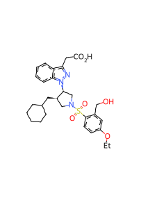 CCOc1ccc(S(=O)(=O)N2C[C@@H](CC3CCCCC3)[C@@H](n3nc(CC(=O)O)c4ccccc43)C2)c(CO)c1